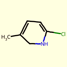 CC1=CC=C(Cl)NC1